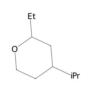 CCC1CC(C(C)C)CCO1